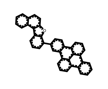 c1ccc2c(c1)ccc1oc3c(-c4ccc5c(c4)c4cccc6c7ccccc7c7cccc5c7c64)cccc3c12